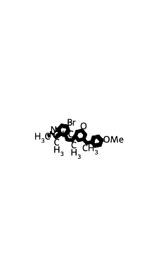 COc1ccc([C@H](C)C2CC(=O)C[C@@](C)([C@@H](C)Cc3cc(Br)cc4nn(C)c(C)c34)C2)cc1